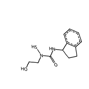 O=C(NC1CCc2ccccc21)N(S)CCO